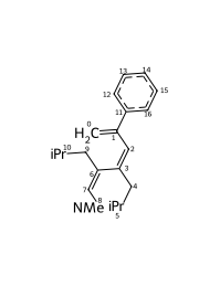 C=C(/C=C(CC(C)C)\C(=C/NC)CC(C)C)c1ccccc1